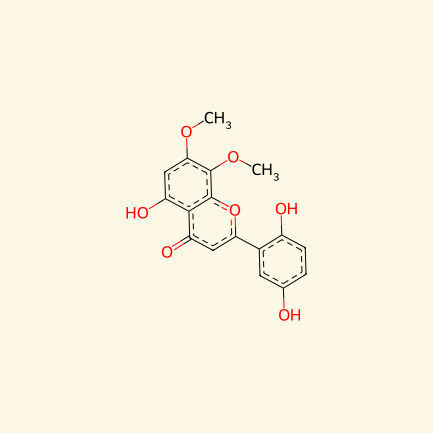 COc1cc(O)c2c(=O)cc(-c3cc(O)ccc3O)oc2c1OC